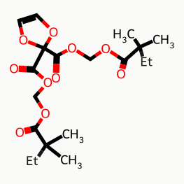 CCC(C)(C)C(=O)OCOC(=O)C1(C(=O)OCOC(=O)C(C)(C)CC)OC=CO1